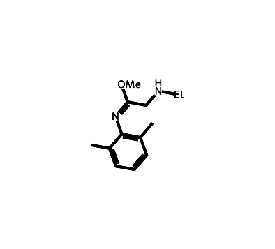 CCNC/C(=N\c1c(C)cccc1C)OC